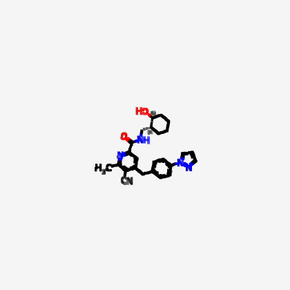 Cc1nc(C(=O)NC[C@H]2CCCC[C@@H]2O)cc(Cc2ccc(-n3cccn3)cc2)c1C#N